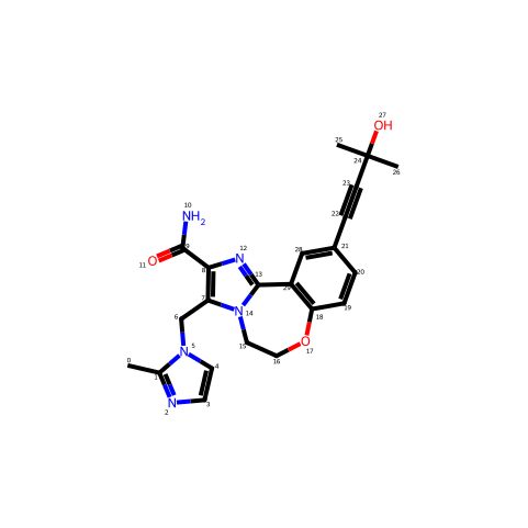 Cc1nccn1Cc1c(C(N)=O)nc2n1CCOc1ccc(C#CC(C)(C)O)cc1-2